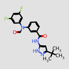 CC(C)(C)c1cc(NC(=O)c2cccc(N(C=O)c3cc(F)cc(F)c3)c2)[nH]n1